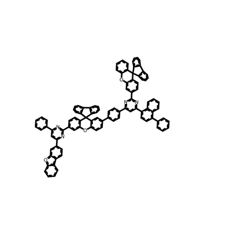 c1ccc(-c2cc(-c3ccc4c(c3)oc3ccccc34)nc(-c3ccc4c(c3)Oc3ccc(-c5ccc(-c6cc(-c7ccc(-c8ccccc8)c8ccccc78)nc(-c7ccc8c(c7)Oc7ccccc7C87c8ccccc8-c8ccccc87)n6)cc5)cc3C43c4ccccc4-c4ccccc43)n2)cc1